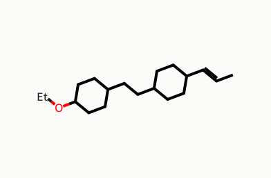 C/C=C/C1CCC(CCC2CCC(OCC)CC2)CC1